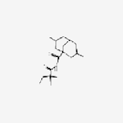 CCC(C)(I)C(=O)NC(=O)C12CC(C)CC(CC(C)C1)C2